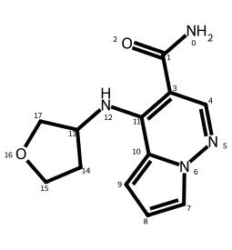 NC(=O)c1cnn2cccc2c1NC1CCOC1